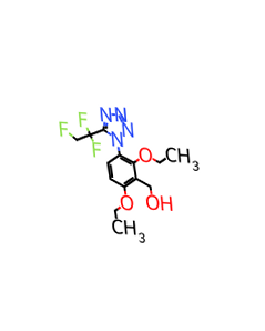 CCOc1ccc(-n2nnnc2C(F)(F)CF)c(OCC)c1CO